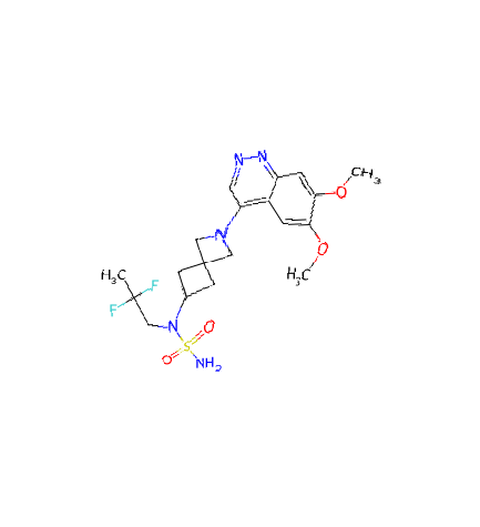 COc1cc2nncc(N3CC4(CC(N(CC(C)(F)F)S(N)(=O)=O)C4)C3)c2cc1OC